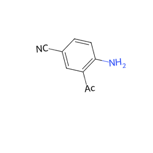 CC(=O)c1cc(C#N)ccc1N